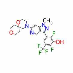 Cn1nc(-c2cc(C(F)(F)F)c(F)c(O)c2F)c2cnc(N3CCOC4(CCOCC4)C3)cc21